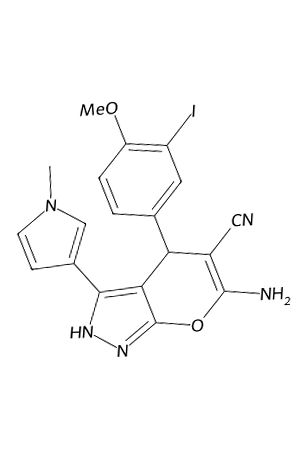 COc1ccc(C2C(C#N)=C(N)Oc3n[nH]c(-c4ccn(C)c4)c32)cc1I